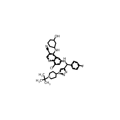 CC(C)(C)N1CCC(n2cc(C(Nc3cc(Cl)c4ncc(C#N)c(NC5CCCC(O)C5)c4c3)c3ccc(F)cc3)nn2)CC1